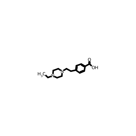 CCN1CCN(CCc2ccc(C(=O)O)cc2)CC1